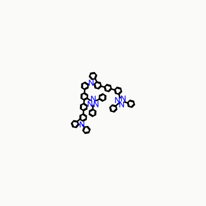 c1ccc(-c2nc(-c3ccccc3)nc(-c3cccc(-c4ccc(-c5ccc6c(c5)c5ccccc5n6-c5cccc(-c6ccc(-c7ccc(-c8ccc9c(c8)c8ccccc8n9-c8ccccc8)cc7)c(-c7nc(-c8ccccc8)nc(-c8ccccc8)n7)c6)c5)cc4)c3)n2)cc1